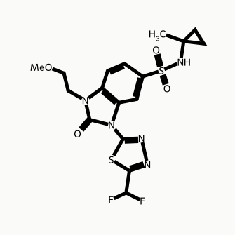 COCCn1c(=O)n(-c2nnc(C(F)F)s2)c2cc(S(=O)(=O)NC3(C)CC3)ccc21